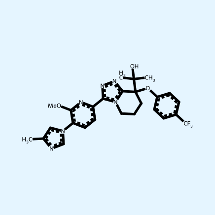 COc1nc(-c2nnc3n2CCCC3(Oc2ccc(C(F)(F)F)cc2)C(C)(C)O)ccc1-n1cnc(C)c1